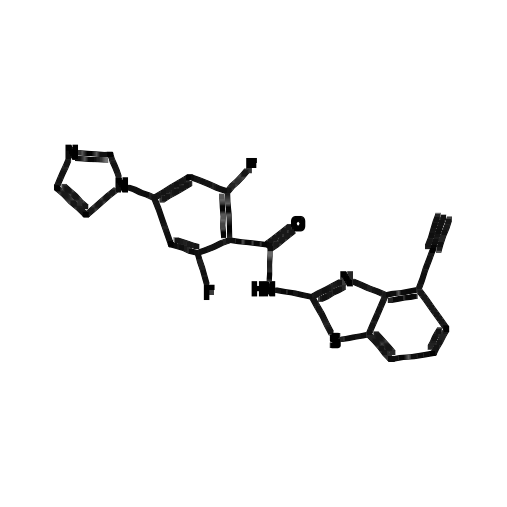 C#Cc1cccc2sc(NC(=O)c3c(F)cc(-n4ccnc4)cc3F)nc12